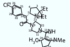 CCC1(CC)CC[C@@H](C(C(=O)N2CCN(C(=N)C3=C(NC)CC[C@H]3C)CC2)c2ccc(Cl)cc2)N1